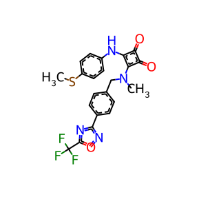 CSc1ccc(Nc2c(N(C)Cc3ccc(-c4noc(C(F)(F)F)n4)cc3)c(=O)c2=O)cc1